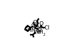 CCCC(NC(=O)CCl)([C@@](Cc1ccccc1)(NCC(C)C)C(N)=O)S(C)(=O)=O